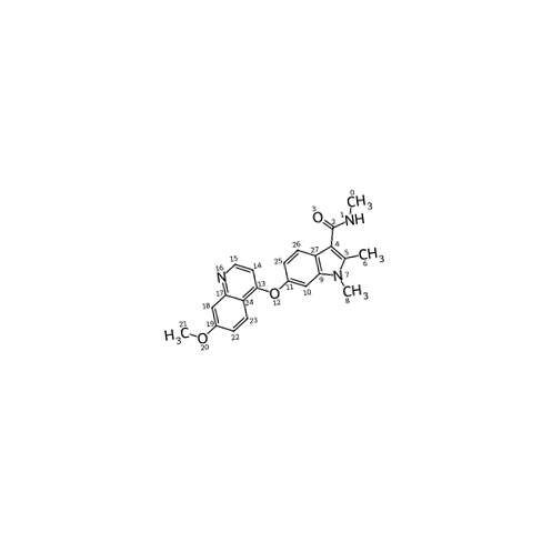 CNC(=O)c1c(C)n(C)c2cc(Oc3ccnc4cc(OC)ccc34)ccc12